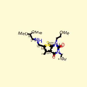 COCCn1c(=O)n(CC(C)(C)C)c(=O)c2c(C)c(CNCC(OC)OC)sc21